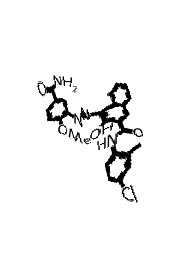 COc1ccc(C(N)=O)cc1/N=N/c1c(O)c(C(=O)Nc2ccc(Cl)cc2C)cc2ccccc12